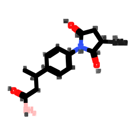 BC(=O)CC(C)c1ccc(N2C(=O)CC(SC)C2=O)cc1